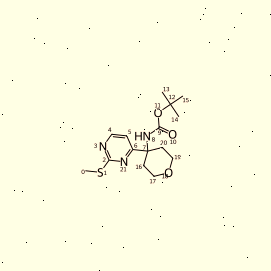 CSc1nccc(C2(NC(=O)OC(C)(C)C)CCOCC2)n1